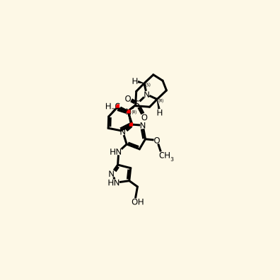 COc1cc(Nc2cc(CO)[nH]n2)nc(N(C)[C@H]2C[C@H]3CCC[C@@H](C2)N3S(=O)(=O)c2ccccc2)n1